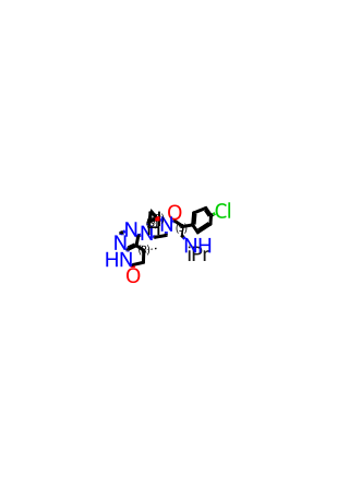 CC(C)NC[C@@H](C(=O)N1CCN(c2ncnc3c2[C@H](C)CC(=O)N3)[C@H]2C[C@H]21)c1ccc(Cl)cc1